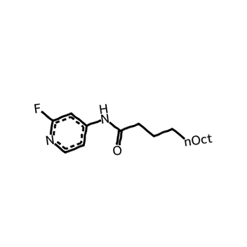 CCCCCCCCCCCC(=O)Nc1ccnc(F)c1